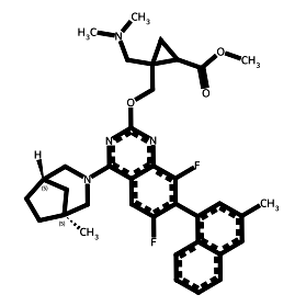 COC(=O)C1CC1(COc1nc(N2C[C@H]3CC[C@@](C)(C3)C2)c2cc(F)c(-c3cc(C)cc4ccccc34)c(F)c2n1)CN(C)C